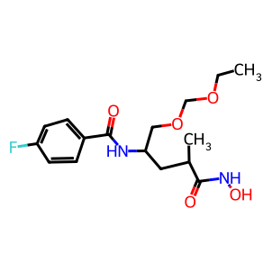 CCOCOCC(CC(C)C(=O)NO)NC(=O)c1ccc(F)cc1